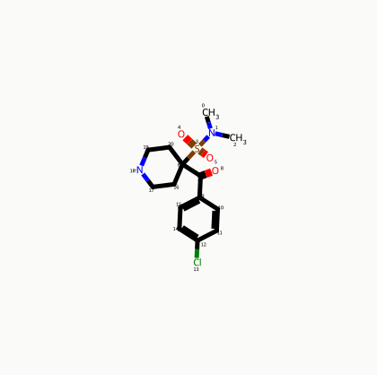 CN(C)S(=O)(=O)C1(C(=O)c2ccc(Cl)cc2)CC[N]CC1